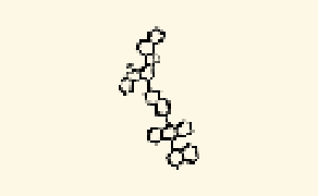 c1ccc2c(-c3c4ccccc4c(-c4ccc5cc(-c6cc7oc8c9ccccc9ccc8c7c7sc8ccccc8c67)ccc5c4)c4ccccc34)cccc2c1